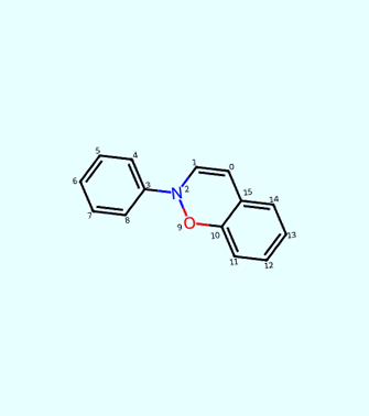 C1=CN(c2ccccc2)Oc2ccccc21